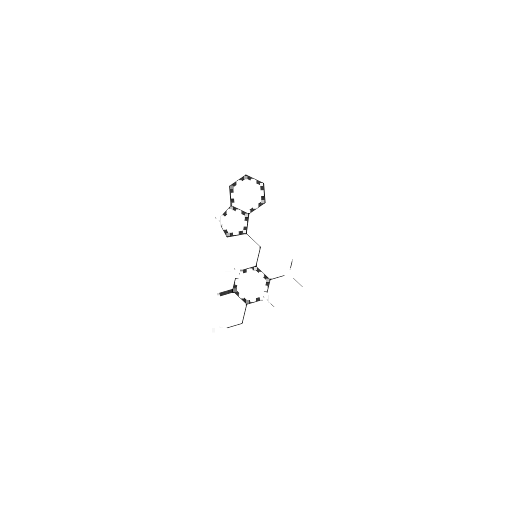 CC(C)Cc1c(=O)[nH]c(Cc2c[nH]c3ccccc23)c([S+](C)[O-])[n+]1[O-]